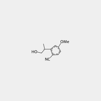 COc1ccc(C#N)c([C](C)CO)c1